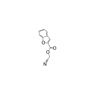 N#CCOC(=O)c1cc2ccccc2o1